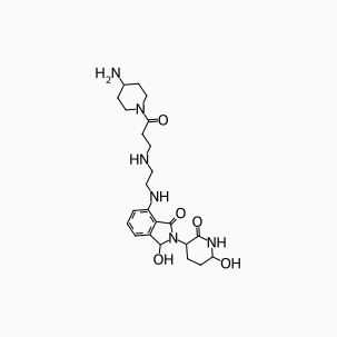 NC1CCN(C(=O)CCNCCNc2cccc3c2C(=O)N(C2CCC(O)NC2=O)C3O)CC1